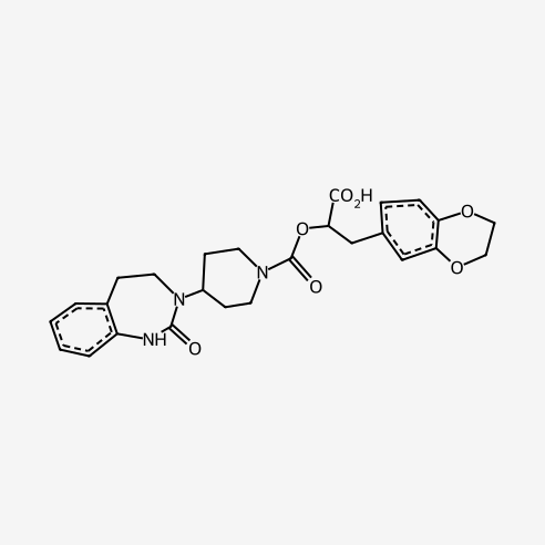 O=C(O)C(Cc1ccc2c(c1)OCCO2)OC(=O)N1CCC(N2CCc3ccccc3NC2=O)CC1